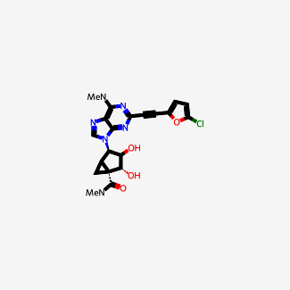 CNC(=O)[C@]12CC1[C@@H](n1cnc3c(NC)nc(C#Cc4ccc(Cl)o4)nc31)C(O)[C@@H]2O